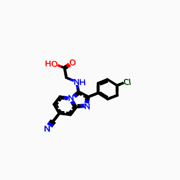 N#Cc1ccn2c(NCC(=O)O)c(C3=CCC(Cl)C=C3)nc2c1